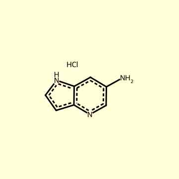 Cl.Nc1cnc2cc[nH]c2c1